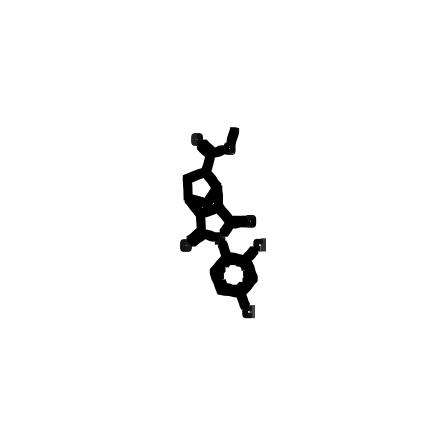 COC(=O)C1CC2CC1C1C(=O)N(c3ccc(Cl)cc3Cl)C(=O)C21